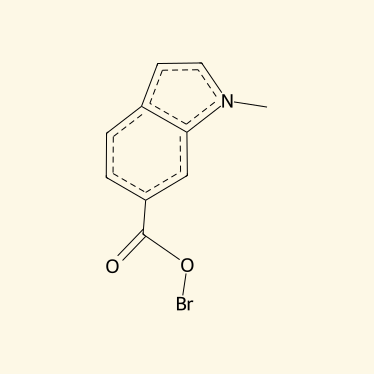 Cn1ccc2ccc(C(=O)OBr)cc21